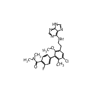 COc1c(CCNc2ncnc3[nH]cnc23)cc(Cl)c(C)c1-c1ccc(C(=O)N(C)C)c(F)c1